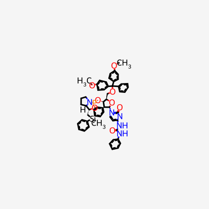 COc1ccc(C(OC[C@H]2O[C@@H](n3ccc(NC(=O)Nc4ccccc4)nc3=O)C[C@@H]2O[P@]2O[C@H](C[Si](C)(c3ccccc3)c3ccccc3)[C@@H]3CCCN32)(c2ccccc2)c2ccc(OC)cc2)cc1